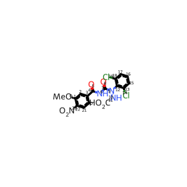 COc1cc(C(=O)NC(=O)N(NC(=O)O)c2c(Cl)cccc2Cl)ccc1[N+](=O)[O-]